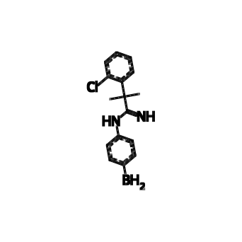 Bc1ccc(NC(=N)C(C)(C)c2ccccc2Cl)cc1